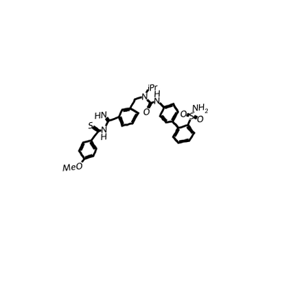 COc1ccc(C(=S)NC(=N)c2cccc(CN(C(=O)Nc3ccc(-c4ccccc4S(N)(=O)=O)cc3)C(C)C)c2)cc1